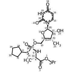 CC(C)OC(=O)[C@H](C)N[P@@](=O)(OC[C@H]1O[C@@H](n2ccc(=O)[nH]c2=O)[C@H](O)[C@@H]1C)SC1CCCC1